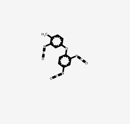 Cc1ccc(Oc2ccc(N=C=O)cc2N=C=O)cc1N=C=O